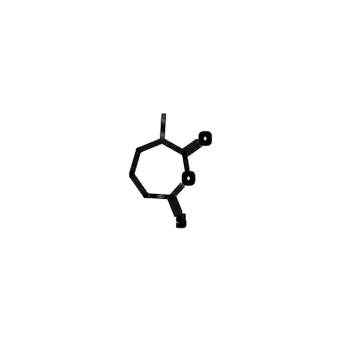 CC1CCCC(=S)OC1=O